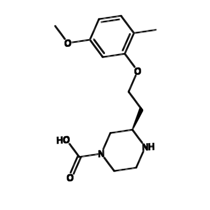 COc1ccc(C)c(OCC[C@@H]2CN(C(=O)O)CCN2)c1